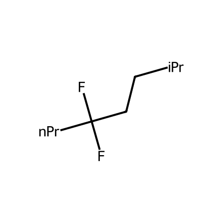 CCCC(F)(F)CCC(C)C